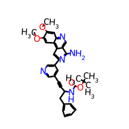 COc1cc2ncc3c(N)nc(-c4cncc(C#CC(Cc5ccccc5)NC(=O)OC(C)(C)C)c4)cc3c2cc1OC